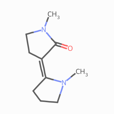 CN1CC/C(=C2\CCCN2C)C1=O